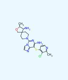 Cc1nccc(Sc2c(N)nc(N3CCC4(CC3)CO[C@@H](C)[C@H]4N)n3ccnc23)c1Cl